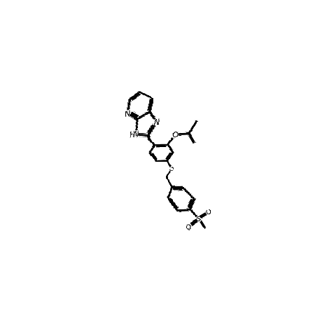 CC(C)Oc1cc(OCc2ccc(S(C)(=O)=O)cc2)ccc1-c1nc2cccnc2[nH]1